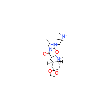 CCCN(C(=O)NCC(C)(C)N(C)C)C(=O)[C@@H]1C[C@@H]2CC3(CC[C@H]2N(C)C1)OCCO3